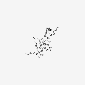 CCCCO[C@@H](CO)C[C@@H](OB=BP)C(OC)[C@@H](OC(C)=O)[C@H](O)O[C@H]1C([C@H]2COC(C)(C)O2)O[C@@](OCCSCC)(C(=O)OC)C[C@H]1OCCCC